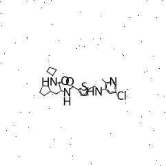 Cc1ncc(Cl)cc1N[C@@H](C)c1ccc(C(=O)N[C@@H](CC2CCCC2)C(=O)N[C@H]2C[C@@H](C)C2)s1